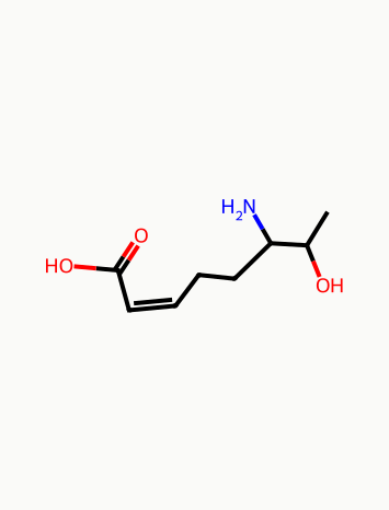 CC(O)C(N)CC/C=C\C(=O)O